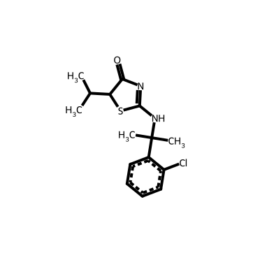 CC(C)C1SC(NC(C)(C)c2ccccc2Cl)=NC1=O